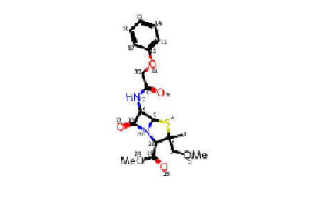 COCC1(C)SC2C(NC(=O)COc3ccccc3)C(=O)N2C1C(=O)OC